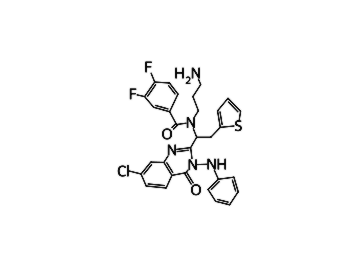 NCCCN(C(=O)c1ccc(F)c(F)c1)C(Cc1cccs1)c1nc2cc(Cl)ccc2c(=O)n1Nc1ccccc1